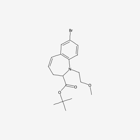 COCCN1c2ccc(Br)cc2C=CCC1C(=O)OC(C)(C)C